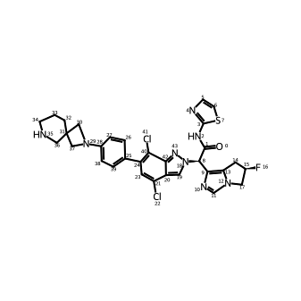 O=C(Nc1nccs1)[C@@H](c1ncn2c1C[C@@H](F)C2)n1cc2c(Cl)cc(-c3ccc(N4CC5(CCCNC5)C4)cc3)c(Cl)c2n1